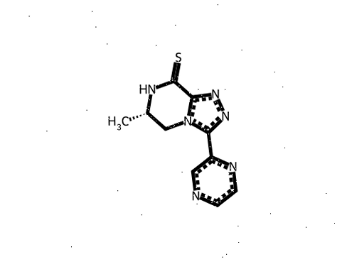 C[C@H]1Cn2c(nnc2-c2cnccn2)C(=S)N1